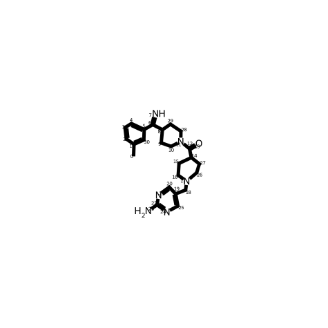 Cc1cccc(C(=N)C2CCN(C(=O)C3CCN(Cc4cnc(N)nc4)CC3)CC2)c1